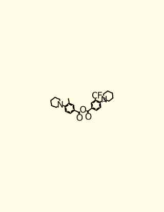 Cc1cc(C(=O)OC(=O)c2ccc(N3CCCCC3)c(C(F)(F)F)c2)ccc1N1CCCCC1